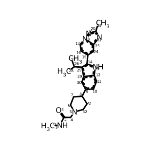 CNC(=O)CN1CCC(c2ccc3[nH]c(-c4ccn5nc(C)nc5c4)c(C(C)C)c3c2)CC1